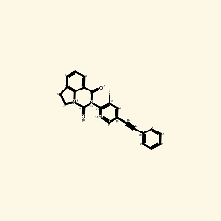 O=c1c2cccc3c2n(c(=O)n1-c1ncc(C#Cc2ccccc2)cc1Cl)CC3